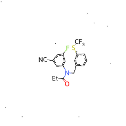 CCC(=O)N(Cc1cccc(SC(F)(F)F)c1)c1cc(F)cc(C#N)c1